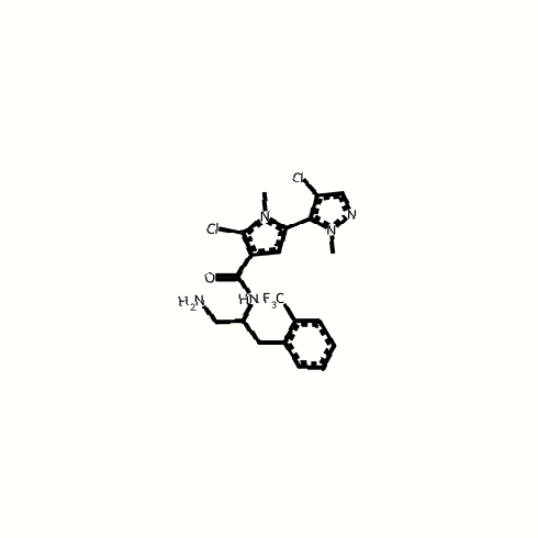 Cn1ncc(Cl)c1-c1cc(C(=O)NC(CN)Cc2ccccc2C(F)(F)F)c(Cl)n1C